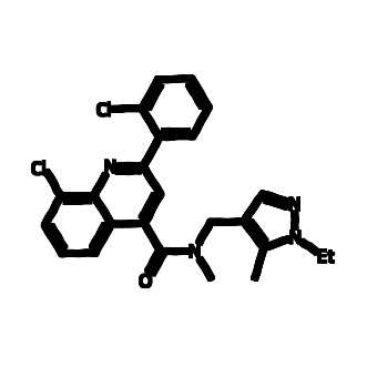 CCn1ncc(CN(C)C(=O)c2cc(-c3ccccc3Cl)nc3c(Cl)cccc23)c1C